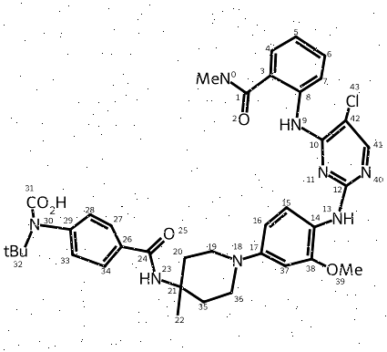 CNC(=O)c1ccccc1Nc1nc(Nc2ccc(N3CCC(C)(NC(=O)c4ccc(N(C(=O)O)C(C)(C)C)cc4)CC3)cc2OC)ncc1Cl